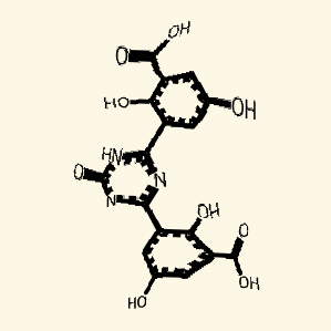 O=C(O)c1cc(O)cc(-c2nc(-c3cc(O)cc(C(=O)O)c3O)[nH]c(=O)n2)c1O